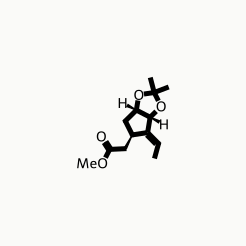 C/C=C1\[C@@H](CC(=O)OC)C[C@@H]2OC(C)(C)O[C@H]12